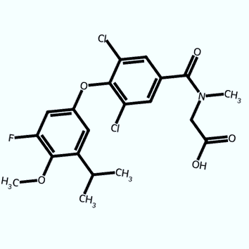 COc1c(F)cc(Oc2c(Cl)cc(C(=O)N(C)CC(=O)O)cc2Cl)cc1C(C)C